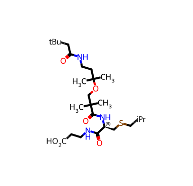 CC(C)CSC[C@H](NC(=O)C(C)(C)COC(C)(C)CCNC(=O)CC(C)(C)C)C(=O)NCCC(=O)O